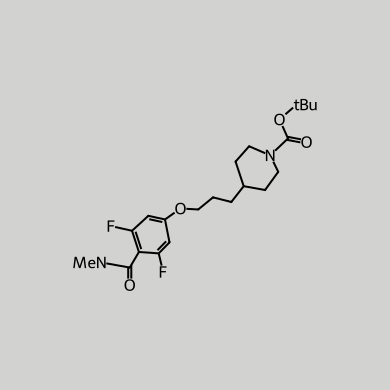 CNC(=O)c1c(F)cc(OCCCC2CCN(C(=O)OC(C)(C)C)CC2)cc1F